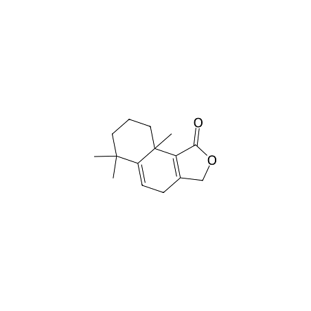 CC1(C)CCCC2(C)C1=CCC1=C2C(=O)OC1